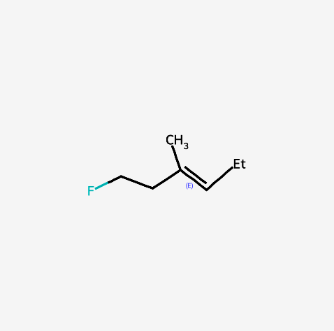 [CH2]C/C=C(\C)CCF